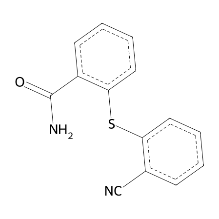 N#Cc1ccccc1Sc1ccccc1C(N)=O